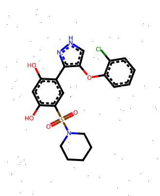 O=S(=O)(c1cc(-c2n[nH]cc2Oc2ccccc2Cl)c(O)cc1O)N1CCCCC1